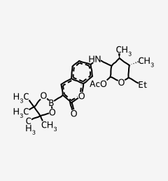 CCC1OC(OC(C)=O)C(Nc2ccc3cc(B4OC(C)(C)C(C)(C)O4)c(=O)oc3c2)[C@@H](C)[C@@H]1C